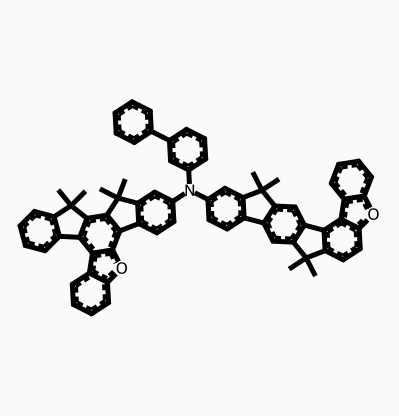 CC1(C)c2cc(N(c3cccc(-c4ccccc4)c3)c3ccc4c(c3)C(C)(C)c3c5c(c6c(oc7ccccc76)c3-4)-c3ccccc3C5(C)C)ccc2-c2cc3c(cc21)-c1c(ccc2oc4ccccc4c12)C3(C)C